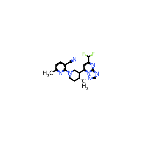 Cc1ccc(C#N)c(N2CC[C@@H](C)C(c3cc(C(F)F)nc4ncnn34)C2)n1